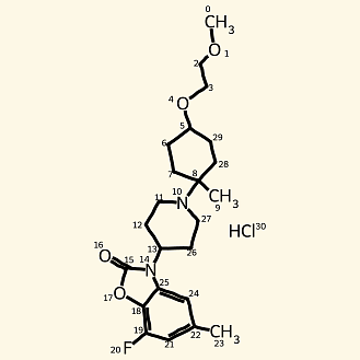 COCCOC1CCC(C)(N2CCC(n3c(=O)oc4c(F)cc(C)cc43)CC2)CC1.Cl